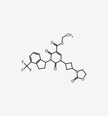 CCOC(=O)c1cn(C2CC(N3CCOC3=O)C2)c(=O)n(C2CCc3c2cccc3C(F)(F)F)c1=O